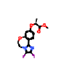 COC(=O)[C@H](C)Oc1ccc2c(c1)OCCn1c-2nc(I)c1I